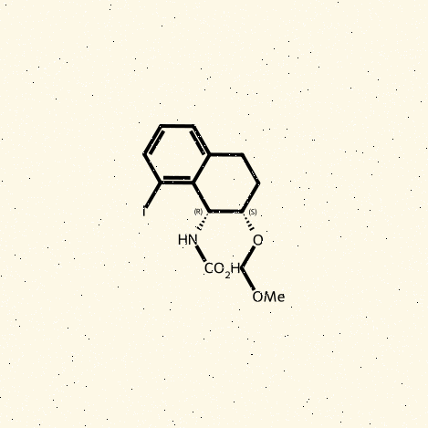 COCO[C@H]1CCc2cccc(I)c2[C@H]1NC(=O)O